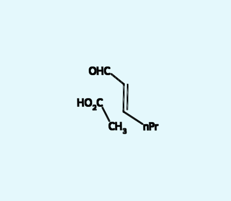 CC(=O)O.CCC/C=C/C=O